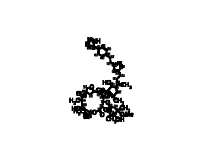 CC[C@H]1OC(=O)[C@H](C)[C@@H](O[C@H]2C[C@@](C)(OC)[C@@H](O)[C@H](C)O2)[C@H](C)[C@@H](O[C@@H]2O[C@H](C)C[C@H](N(C)CCc3cn(CCc4ccc(-c5nnn[nH]5)cc4)nn3)[C@H]2O)[C@@]2(C)C[C@@H](CO2)C(=O)[C@H](C)[C@@H](O)[C@]1(C)O